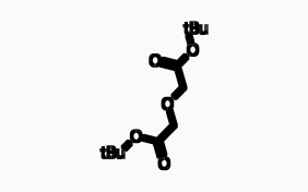 CC(C)(C)OC(=O)COCC(=O)OC(C)(C)C